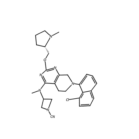 CN(c1nc(OC[C@@H]2CCCN2C)nc2c1CCN(c1cccc3cccc(Cl)c13)C2)C1CN(C#N)C1